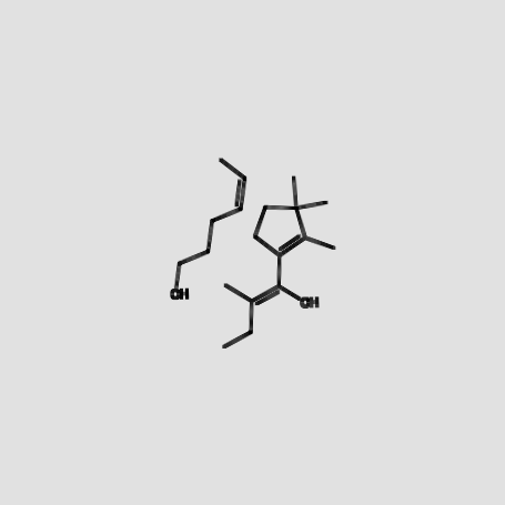 C/C=C\CCCO.CC/C(C)=C(\O)C1=C(C)C(C)(C)CC1